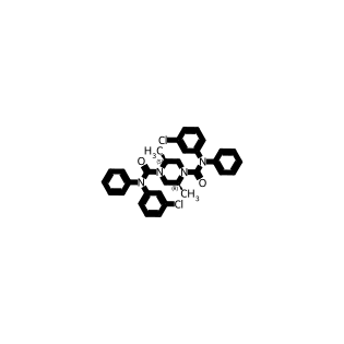 C[C@@H]1CN(C(=O)N(c2ccccc2)c2cccc(Cl)c2)[C@@H](C)CN1C(=O)N(c1ccccc1)c1cccc(Cl)c1